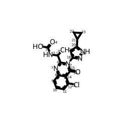 CC(NC(=O)O)c1nc2cccc(Cl)c2c(=O)n1-c1cc(C2CC2)[nH]n1